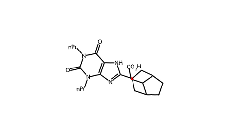 CCCn1c(=O)c2[nH]c(C3CC4CCC(C3)C4CC(=O)O)nc2n(CCC)c1=O